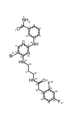 NC(=O)c1cccc(Nc2ncc(Br)c(NCCCNC(=O)Cc3ccc(F)cc3F)n2)c1